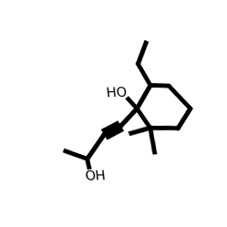 CCC1CCCC(C)(C)C1(O)C#CC(C)O